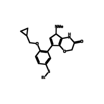 CCSc1ccc(OCC2CC2)c(C2=CC(NC)C3=C2OCC(=O)N3)c1